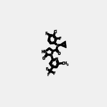 Cc1cc(C(F)(F)F)cc(N2C(=O)NCC2C(=O)N(c2ccc(F)c(Cl)c2F)C2CC2)n1